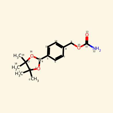 CC1(C)OB(c2ccc(COC(N)=O)cc2)OC1(C)C